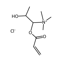 C=CC(=O)OC(C(C)O)[N+](C)(C)C.[Cl-]